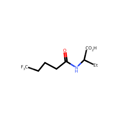 CCC(NC(=O)CCCC(F)(F)F)C(=O)O